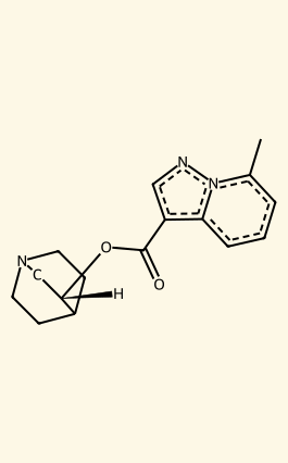 Cc1cccc2c(C(=O)O[C@H]3CN4CCC3CC4)cnn12